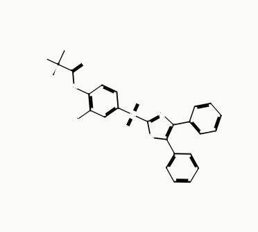 C[C@@](O)(C(=O)Nc1ccc(S(=O)(=O)c2nc(-c3ccccc3)c(-c3ccccc3)o2)cc1Cl)C(F)(F)F